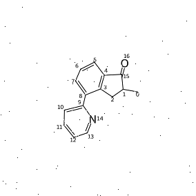 CC1Cc2c(cccc2-c2ccccn2)C1=O